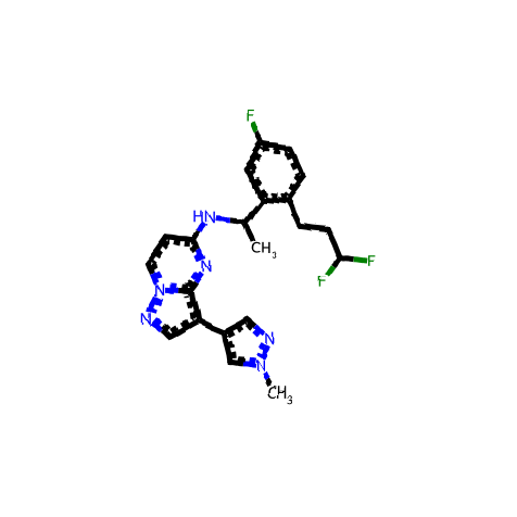 CC(Nc1ccn2ncc(-c3cnn(C)c3)c2n1)c1cc(F)ccc1CCC(F)F